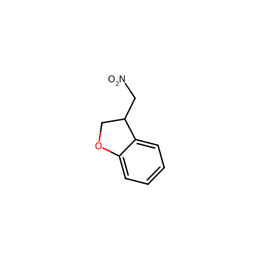 O=[N+]([O-])CC1COc2ccccc21